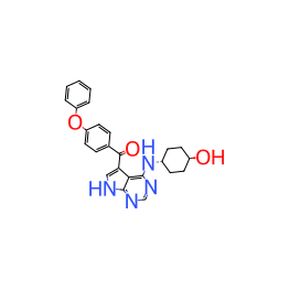 O=C(c1ccc(Oc2ccccc2)cc1)c1c[nH]c2ncnc(N[C@H]3CC[C@H](O)CC3)c12